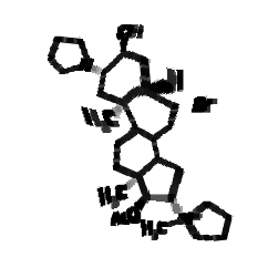 CC(=O)O[C@@H]1[C@@H]([N+]2(C)CCCC2)CC2C3CC[C@H]4C[C@H](O)[C@@H](N5CCCC5)C[C@]4(C)C3CC[C@@]21C.[Br-]